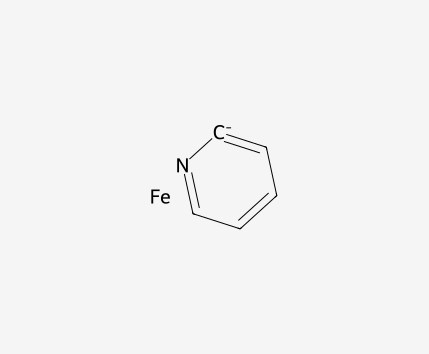 [Fe].[c-]1ccccn1